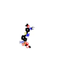 [C-]#[N+]c1cc(-c2nnc(-c3cccc4c3CC[C@@H]4NS(=O)(=O)CC(=O)OCC)s2)ccc1OC(C)C